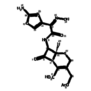 CC(=O)OCC1=C(C(=O)O)N2C(=O)C(NC(=O)/C(=N\O)c3coc(N)n3)[C@H]2SC1